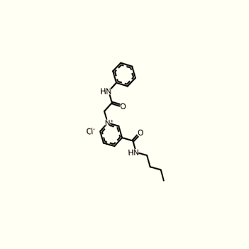 CCCCNC(=O)c1ccc[n+](CC(=O)Nc2ccccc2)c1.[Cl-]